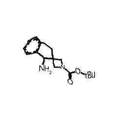 CC(C)(C)OC(=O)N1CC2(Cc3ccccc3C2N)C1